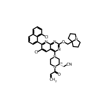 C=CC(=O)N1CCN(c2nc(OCC34CCCN3CCC4)nc3nc(-c4cccc5cccc(Cl)c45)c(Cl)cc23)C[C@@H]1CC#N